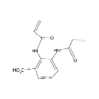 C=CC(=O)Nc1cccc(C(=O)O)c1NC(=O)C=C